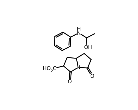 CC(O)Nc1ccccc1.O=C(O)C1CC2CCC(=O)N2C1=O